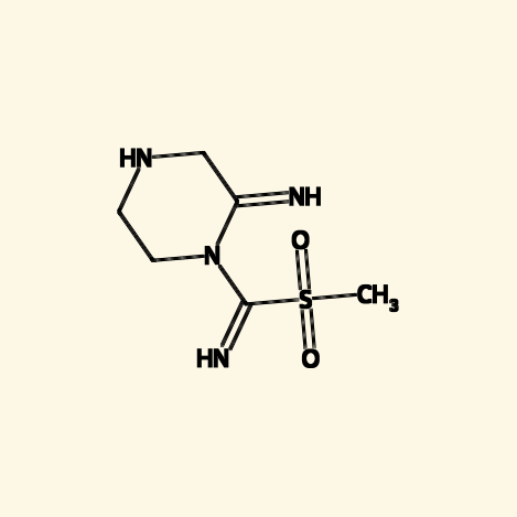 CS(=O)(=O)C(=N)N1CCNCC1=N